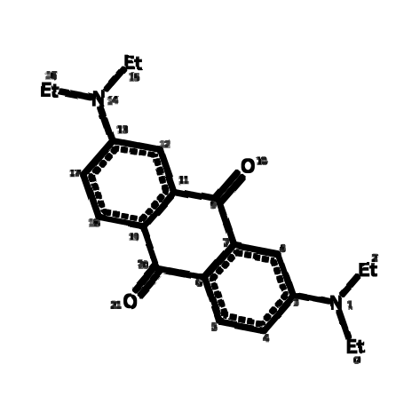 CCN(CC)c1ccc2c(c1)C(=O)c1cc(N(CC)CC)ccc1C2=O